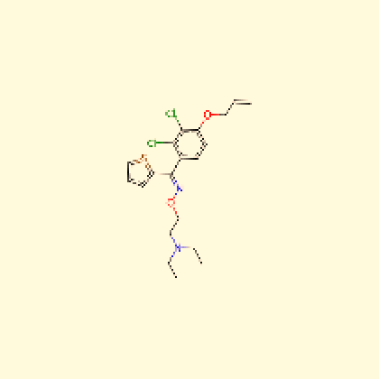 C=CCOc1ccc(C(=NOCCN(CC)CC)c2cccs2)c(Cl)c1Cl